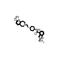 CC(C)Oc1ccc2c(n1)CCN(CC[C@H]1CC[C@H](NC(=O)c3cccc4nn(C)cc34)CC1)CC2